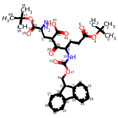 CC(C)(C)OC(=O)CCC(NC(=O)OCC1c2ccccc2-c2ccccc21)C(=O)C(CC(N)C(=O)OC(C)(C)C)C(=O)O